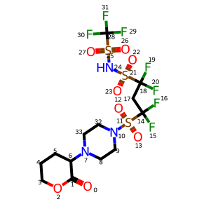 O=C1OCCCC1N1CCN(S(=O)(=O)C(F)(F)CC(F)(F)S(=O)(=O)NS(=O)(=O)C(F)(F)F)CC1